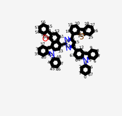 c1ccc(-n2c3ccccc3c3cc(-c4cc(-c5cccc6c5sc5ccccc56)nc(-c5cc6c(c7ccccc7n6-c6ccccc6)c6c5ccc5c7ccccc7oc56)n4)ccc32)cc1